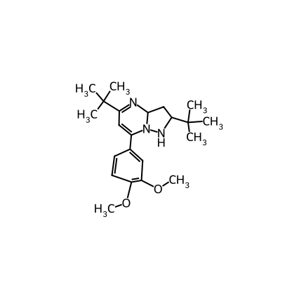 COc1ccc(C2=CC(C(C)(C)C)=NC3CC(C(C)(C)C)NN23)cc1OC